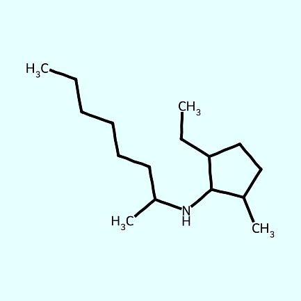 CCCCCCC(C)NC1C(C)CCC1CC